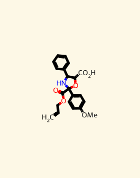 C=CCOC(=O)C1(c2ccc(OC)cc2)NC(c2ccccc2)C(C(=O)O)O1